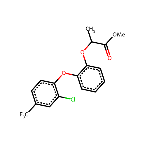 COC(=O)C(C)Oc1ccccc1Oc1ccc(C(F)(F)F)cc1Cl